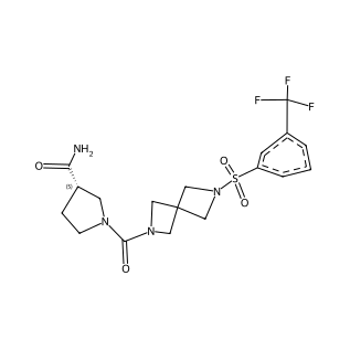 NC(=O)[C@H]1CCN(C(=O)N2CC3(C2)CN(S(=O)(=O)c2cccc(C(F)(F)F)c2)C3)C1